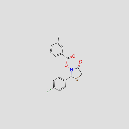 Cc1cccc(C(=O)ON2C(=O)CSC2c2ccc(F)cc2)c1